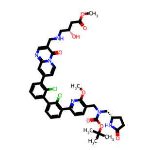 COC(=O)C[C@H](O)CNCc1cnc2cc(-c3cccc(-c4cccc(-c5ccc(CN(C[C@@H]6CCC(=O)N6)C(=O)OC(C)(C)C)c(OC)n5)c4Cl)c3Cl)ccn2c1=O